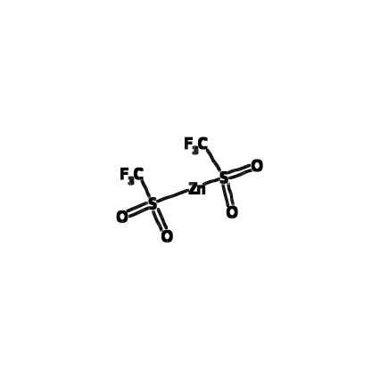 O=[S](=O)([Zn][S](=O)(=O)C(F)(F)F)C(F)(F)F